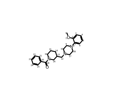 COc1ccccc1N1CCN(CC2CCCN(C(=O)c3ccccc3)C2)CC1